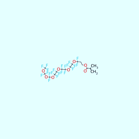 C=C(C)C(=O)OCCC(F)(F)OC(F)(F)C(F)(F)OC(F)(F)C(F)(F)OC(F)(F)C(F)(F)OC(F)(F)OC(F)(F)OC(F)(F)F